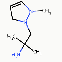 CN1C=CCN1CC(C)(C)N